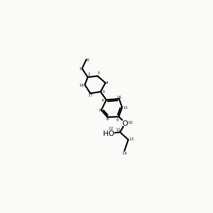 CCC1CCC(c2ccc(OC(O)CC)cc2)CC1